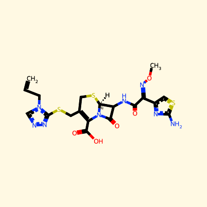 C=CCn1cnnc1SCC1=C(C(=O)O)N2C(=O)C(NC(=O)C(=NOC)c3csc(N)n3)[C@@H]2SC1